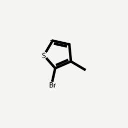 Cc1c[c]sc1Br